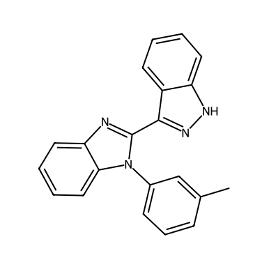 Cc1cccc(-n2c(-c3n[nH]c4ccccc34)nc3ccccc32)c1